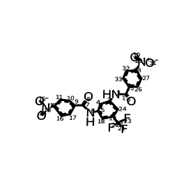 O=C(Nc1cc(NC(=O)c2ccc([N+](=O)[O-])cc2)cc(C(F)(F)F)c1)c1ccc([N+](=O)[O-])cc1